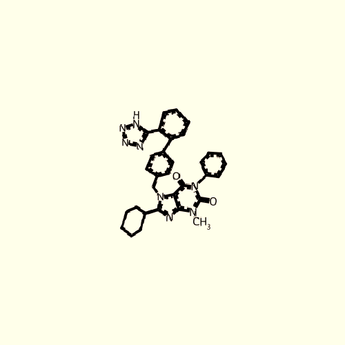 Cn1c(=O)n(-c2ccccc2)c(=O)c2c1nc(C1CCCCC1)n2Cc1ccc(-c2ccccc2-c2nnn[nH]2)cc1